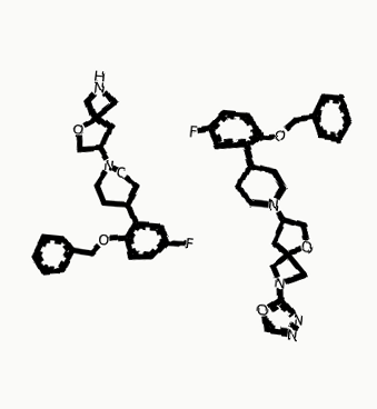 Fc1ccc(OCc2ccccc2)c(C2CCN(C3COC4(C3)CN(c3nnco3)C4)CC2)c1.Fc1ccc(OCc2ccccc2)c(C2CCN(C3COC4(CNC4)C3)CC2)c1